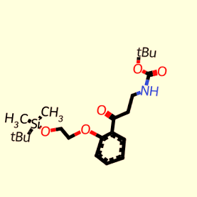 CC(C)(C)OC(=O)NCCC(=O)c1ccccc1OCCO[Si](C)(C)C(C)(C)C